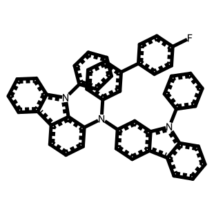 Fc1ccc(-c2cccc(N(c3ccc4c5ccccc5n(-c5ccccc5)c4c3)c3cccc4c5ccccc5n(-c5ccccc5)c34)c2)cc1